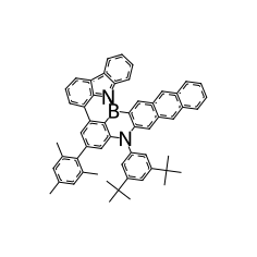 Cc1cc(C)c(-c2cc3c4c(c2)N(c2cc(C(C)(C)C)cc(C(C)(C)C)c2)c2cc5cc6ccccc6cc5cc2B4n2c4ccccc4c4cccc-3c42)c(C)c1